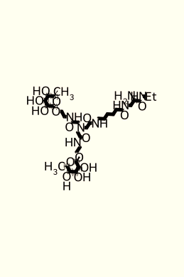 CCNC(=O)[C@@H](N)CNC(=O)CCCCCNC(=O)CN(CC(=O)NCCO[C@@H]1O[C@@H](C)[C@@H](O)[C@@H](O)[C@@H]1O)CC(=O)NCCO[C@@H]1O[C@@H](C)[C@@H](O)[C@@H](O)[C@@H]1O